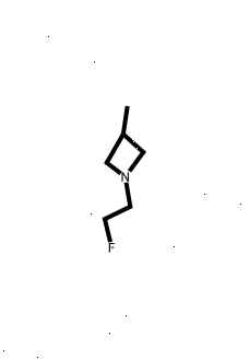 CC1CN(CCF)C1